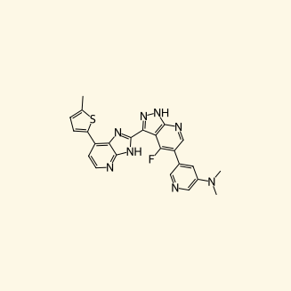 Cc1ccc(-c2ccnc3[nH]c(-c4n[nH]c5ncc(-c6cncc(N(C)C)c6)c(F)c45)nc23)s1